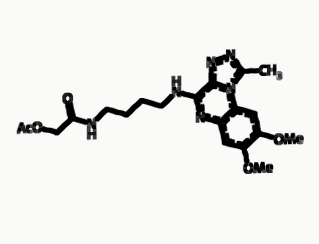 COc1cc2nc(NCCCCNC(=O)COC(C)=O)c3nnc(C)n3c2cc1OC